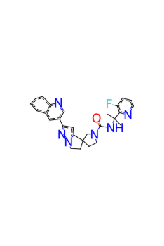 CC(C)(NC(=O)N1CCC2(CCn3nc(-c4cnc5ccccc5c4)cc32)C1)c1ncccc1F